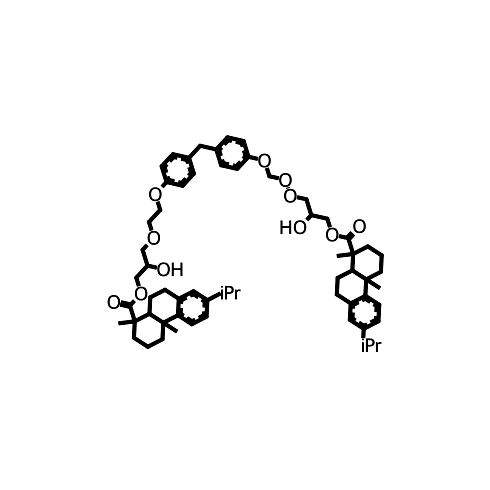 CC(C)c1ccc2c(c1)CCC1C(C)(C(=O)OCC(O)COCCOc3ccc(Cc4ccc(OCOOCC(O)COC(=O)C5(C)CCCC6(C)c7ccc(C(C)C)cc7CCC56)cc4)cc3)CCCC21C